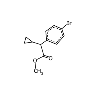 COC(=O)C(c1ccc(Br)cc1)C1CC1